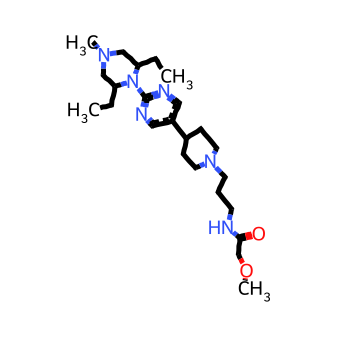 CCC1CN(C)CC(CC)N1c1ncc(C2CCN(CCCNC(=O)COC)CC2)cn1